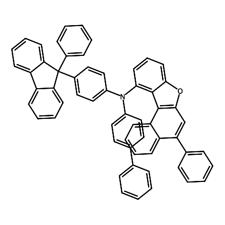 c1ccc(-c2ccc(N(c3ccc(C4(c5ccccc5)c5ccccc5-c5ccccc54)cc3)c3cccc4oc5cc(-c6ccccc6)c6ccccc6c5c34)cc2)cc1